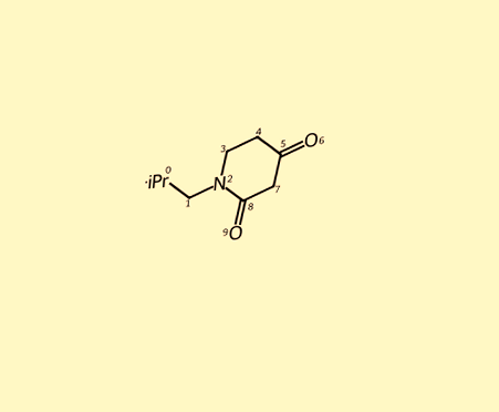 C[C](C)CN1CCC(=O)CC1=O